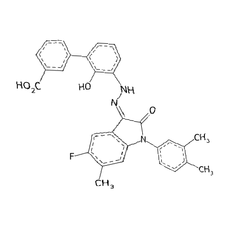 Cc1ccc(N2C(=O)/C(=N\Nc3cccc(-c4cccc(C(=O)O)c4)c3O)c3cc(F)c(C)cc32)cc1C